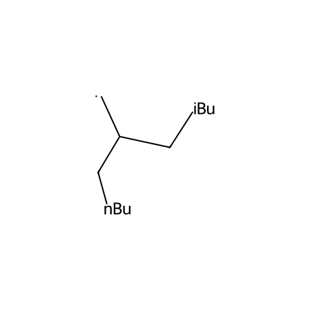 [CH2]C(CCCCC)CC(C)CC